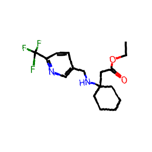 CCOC(=O)CC1(NCc2ccc(C(F)(F)F)nc2)CCCCC1